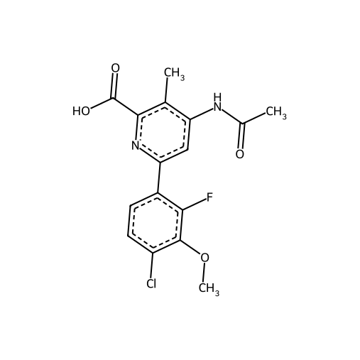 COc1c(Cl)ccc(-c2cc(NC(C)=O)c(C)c(C(=O)O)n2)c1F